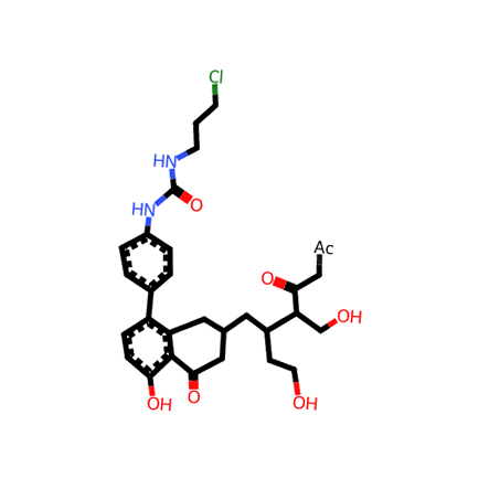 CC(=O)CC(=O)C(CO)C(CCO)CC1CC(=O)c2c(O)ccc(-c3ccc(NC(=O)NCCCCl)cc3)c2C1